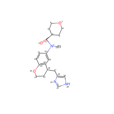 CCN(C(=O)C1CCOCC1)c1ccc2c(c1)C(Cc1c[nH]cn1)CCO2